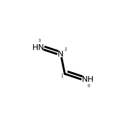 N=[C]N=N